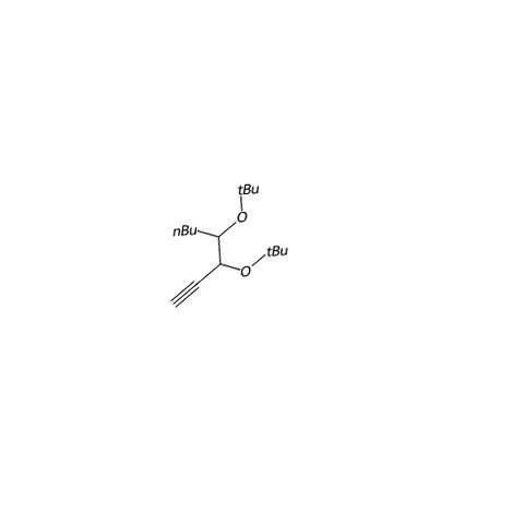 C#CC(OC(C)(C)C)C(CCCC)OC(C)(C)C